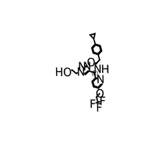 O=C(Cc1ccc(C2CC2)cc1)N[C@H](c1ccc(OCC(F)(F)F)cn1)c1cn(CCO)nn1